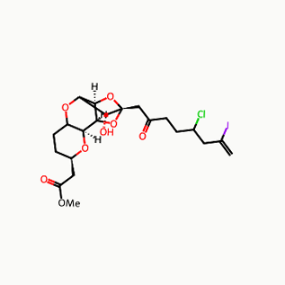 C=C(I)CC(Cl)CCC(=O)C[C@]12O[C@@H]3[C@H](O1)C(OC1CC[C@H](CC(=O)OC)O[C@@H]13)[C@H]2O